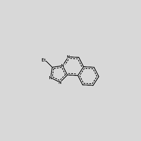 CCc1nnc2c3ccccc3cnn12